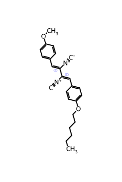 [C-]#[N+]C(=C\c1ccc(OC)cc1)/C(=C/c1ccc(OCCCCCC)cc1)[N+]#[C-]